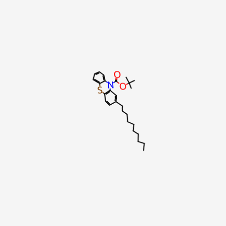 CCCCCCCCCCc1ccc2c(c1)N(C(=O)OC(C)(C)C)c1ccccc1S2